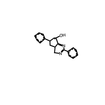 OC1=CC(c2ccccc2)CC2CN=C(c3ccccc3)N=C12